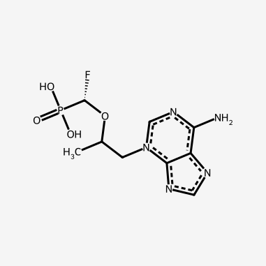 CC(Cn1cnc(N)c2ncnc1-2)O[C@@H](F)P(=O)(O)O